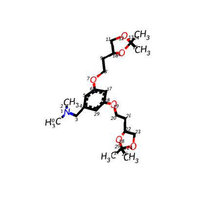 CN(C)Cc1cc(OCCC2COC(C)(C)O2)cc(OCCC2COC(C)(C)O2)c1